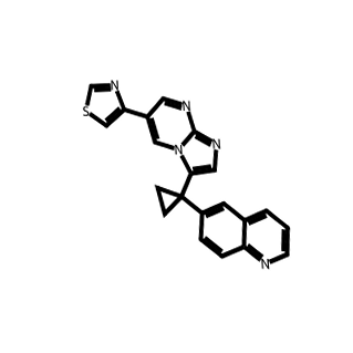 c1cnc2ccc(C3(c4cnc5ncc(-c6cscn6)cn45)CC3)cc2c1